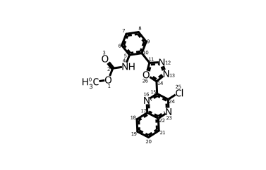 COC(=O)Nc1ccccc1-c1nnc(-c2nc3ccccc3nc2Cl)o1